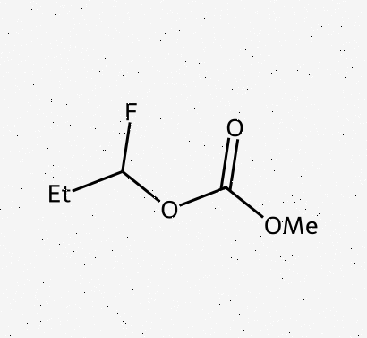 CCC(F)OC(=O)OC